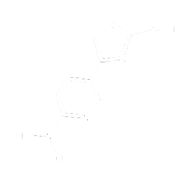 CN(C)c1ccc(-c2ccc(S(=O)(=O)O)s2)cn1